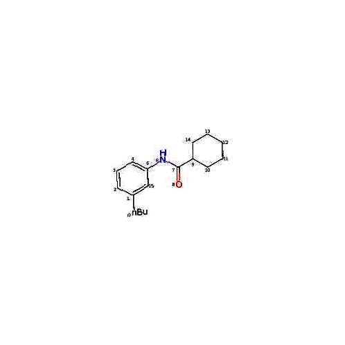 CCCCc1cccc(NC(=O)C2CCCCC2)c1